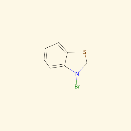 BrN1CSc2ccccc21